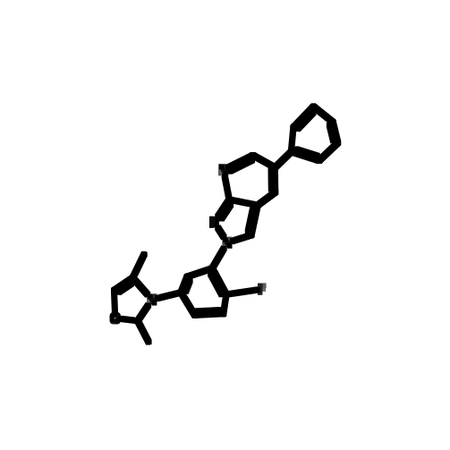 CC1=COC(C)N1c1ccc(F)c(-n2cc3cc(-c4ccccc4)cnc3n2)c1